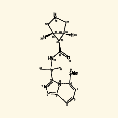 CSc1cccc2cnc(C(C)(C)NC(=O)[C@H]3[C@@H]4CNC[C@@H]43)n12